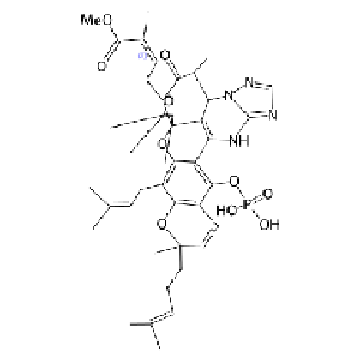 COC(=O)/C(C)=C\CC12OC(C)(C)C(C)C13Oc1c(CC=C(C)C)c4c(c(OP(=O)(O)O)c1C1=C3C(C(C)C2=O)n2ncnc2N1)C=CC(C)(CCC=C(C)C)O4